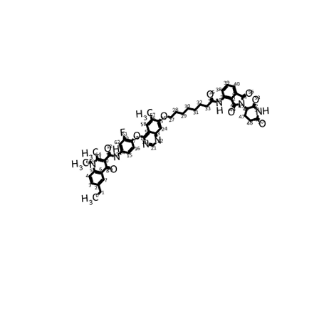 CCc1ccc2c(c1)c(=O)c(C(=O)Nc1ccc(Oc3ncnc4cc(OCCCCCCCC(=O)Nc5cccc6c5C(=O)N(C5CCC(=O)NC5=O)C6=O)c(C)cc34)c(F)c1)c(C)n2C